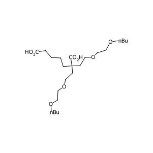 CCCCOCCOCCC(CCCCC(=O)O)(CCOCCOCCCC)C(=O)O